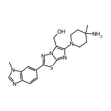 Cn1cnc2ccc(-c3nn4c(CO)c(N5CCC(C)(N)CC5)nc4s3)cc21